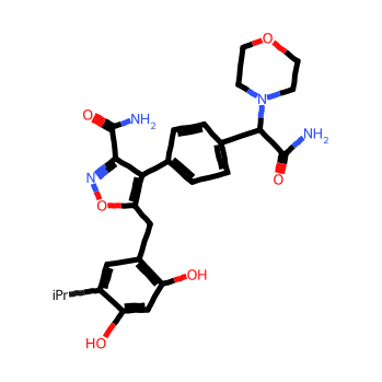 CC(C)c1cc(Cc2onc(C(N)=O)c2-c2ccc(C(C(N)=O)N3CCOCC3)cc2)c(O)cc1O